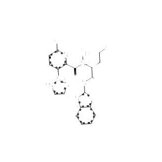 CCC[C@@H](CNc1nc2ccccc2o1)N(C)C(=O)c1nc(C)ccc1-n1nccn1